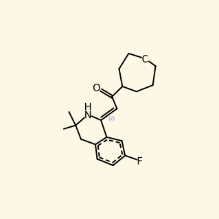 CC1(C)Cc2ccc(F)cc2/C(=C/C(=O)C2CCCCCC2)N1